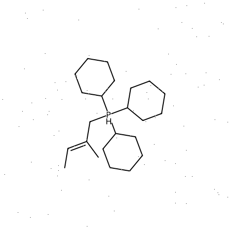 CC=C(C)C[PH](C1CCCCC1)(C1CCCCC1)C1CCCCC1